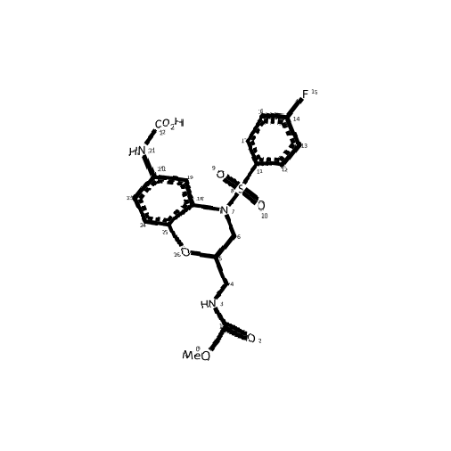 COC(=O)NCC1CN(S(=O)(=O)c2ccc(F)cc2)c2cc(NC(=O)O)ccc2O1